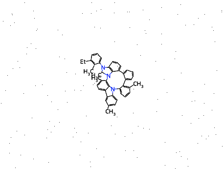 CCc1cccc(N2c3cccc4c3N(c3c(C)ccc5c6cc(C)ccc6n(c35)-c3cccc(C)c3-c3ccccc3-4)[C@@H]2C)c1C